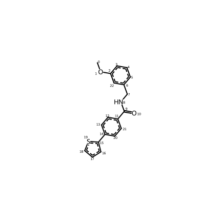 COc1cccc(CNC(=O)c2ccc(-c3cccs3)cc2)c1